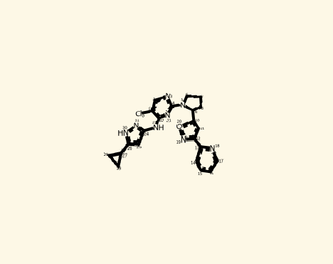 Clc1cnc(N2CCCC2c2cc(-c3ccccn3)no2)nc1Nc1cc(C2CC2)[nH]n1